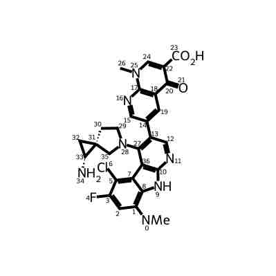 CNc1cc(F)c(Cl)c2c1[nH]c1ncc(-c3cnc4c(c3)c(=O)c(C(=O)O)cn4C)c(N3CC[C@]4(C[C@H]4N)C3)c12